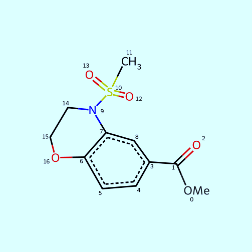 COC(=O)c1ccc2c(c1)N(S(C)(=O)=O)CCO2